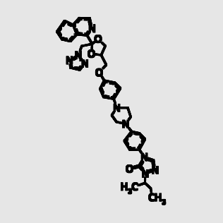 CCC(C)n1ncn(-c2ccc(N3CCN(c4ccc(OCC5COC(Cn6nccn6)(c6nccc7ccccc67)O5)cc4)CC3)cc2)c1=O